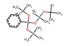 CCC(C)(C)O[Si](C)(C)O[Si](O[Si](C)(C)C)(O[Si](C)(C)C)c1ccccc1